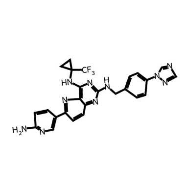 Nc1ccc(-c2ccc3nc(NCc4ccc(-n5cncn5)cc4)nc(NC4(C(F)(F)F)CC4)c3n2)cn1